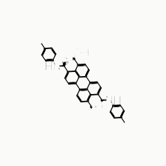 Cc1ccc(NC(=O)c2ccc3c4ccc(C(=O)O)c5c(C(=O)Nc6ccc(C)cc6)ccc(c6ccc(C=O)c2c36)c54)cc1